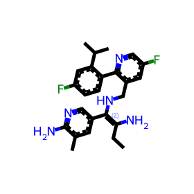 CC/C(N)=C(/NCc1cc(F)cnc1-c1ccc(F)cc1C(C)C)c1cnc(N)c(C)c1